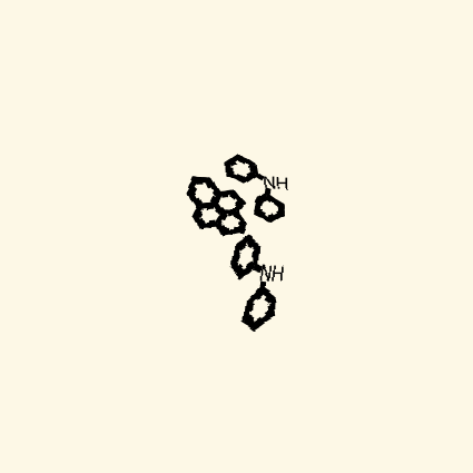 c1cc2ccc3cccc4ccc(c1)c2c34.c1ccc(Nc2ccccc2)cc1.c1ccc(Nc2ccccc2)cc1